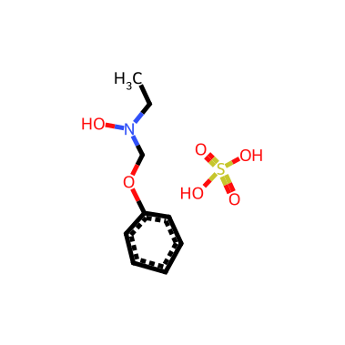 CCN(O)COc1ccccc1.O=S(=O)(O)O